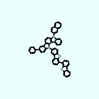 c1ccc(-c2ccc3c(c2)c2ccc4c(c5ccccc5n4-c4ccc5ccccc5c4)c2n3-c2ccc3oc4c(-c5cccc6c5oc5ccccc56)cccc4c3c2)cc1